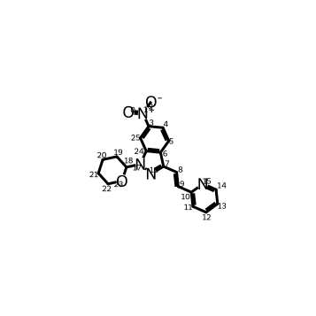 O=[N+]([O-])c1ccc2c(/C=C/c3ccccn3)nn(C3CCCCO3)c2c1